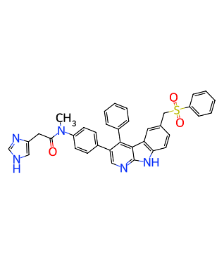 CN(C(=O)Cc1c[nH]cn1)c1ccc(-c2cnc3[nH]c4ccc(CS(=O)(=O)c5ccccc5)cc4c3c2-c2ccccc2)cc1